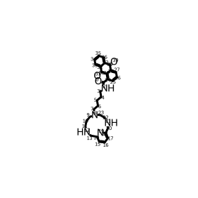 O=C(NCCCCCN1CCCNCc2cccc(n2)CNCC1)c1cccc2c1C(=O)c1ccccc1C2=O